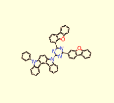 c1ccc(-n2c3ccccc3c3c4c5ccccc5n(-c5nc(-c6ccc7c(c6)oc6ccccc67)nc(-c6cccc7c6oc6ccccc67)n5)c4ccc32)cc1